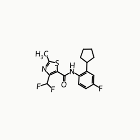 Cc1nc(C(F)F)c(C(=O)Nc2ccc(F)cc2C2CCCC2)s1